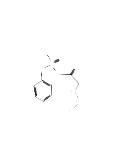 CCC(C)ON[C@@H](C)C(=O)OP(=O)(Cl)Oc1ccccc1